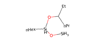 CCCCCC[SiH](O[SiH3])OC(CC)CCC